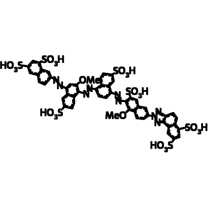 COc1cc(N=Nc2ccc3cc(S(=O)(=O)O)cc(S(=O)(=O)O)c3c2)c2cc(S(=O)(=O)O)ccc2c1N=Nc1ccc(N=Nc2c(S(=O)(=O)O)cc3cc(-n4nc5ccc6c(S(=O)(=O)O)cc(S(=O)(=O)O)cc6c5n4)ccc3c2OC)c2cc(S(=O)(=O)O)ccc12